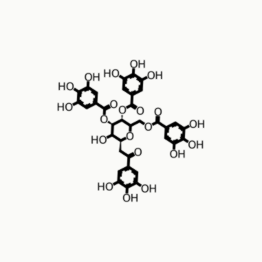 O=C(C[C@@H]1OC(COC(=O)c2cc(O)c(O)c(O)c2)[C@@H](OC(=O)c2cc(O)c(O)c(O)c2)[C@H](OC(=O)c2cc(O)c(O)c(O)c2)C1O)c1cc(O)c(O)c(O)c1